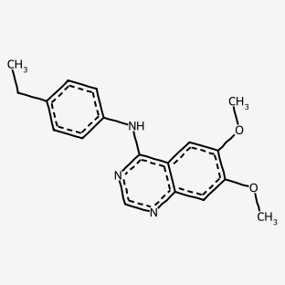 CCc1ccc(Nc2ncnc3cc(OC)c(OC)cc23)cc1